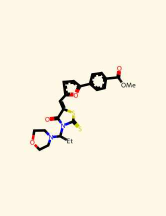 CCC(N1CCOCC1)N1C(=O)/C(=C/c2ccc(-c3ccc(C(=O)OC)cc3)o2)SC1=S